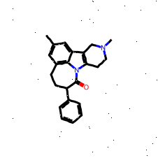 Cc1cc2c3c(c1)c1c(n3C(=O)C(c3ccccc3)CC2)CCN(C)C1